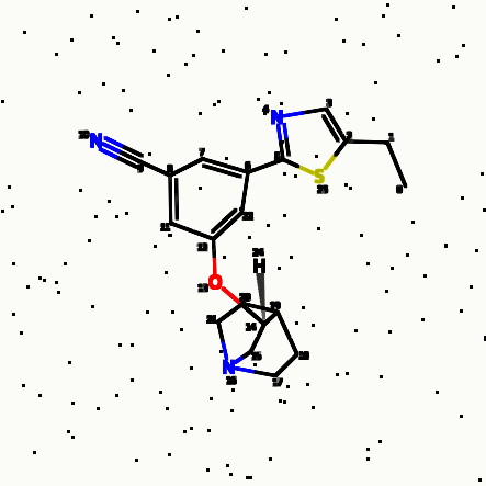 CCc1cnc(-c2cc(C#N)cc(O[C@@H]3CN4CCC3CC4)c2)s1